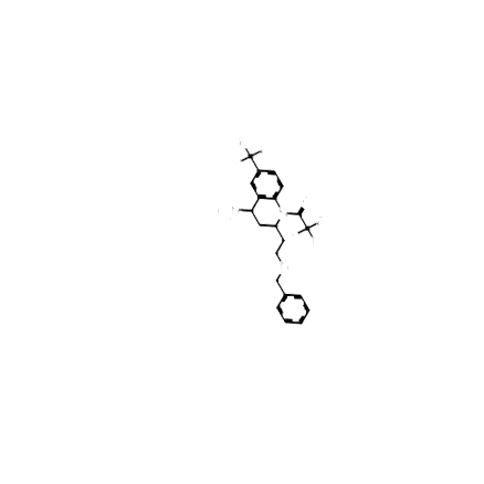 NC1CC(CCOCc2ccccc2)N(C(=O)C(F)(F)F)c2ccc(C(F)(F)F)cc21